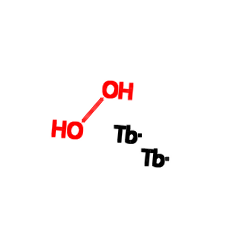 OO.[Tb].[Tb]